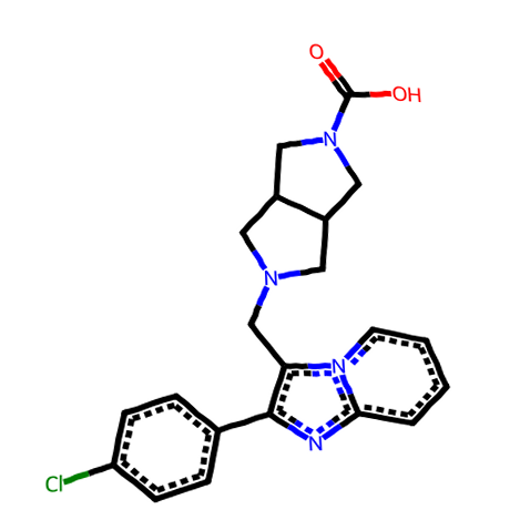 O=C(O)N1CC2CN(Cc3c(-c4ccc(Cl)cc4)nc4ccccn34)CC2C1